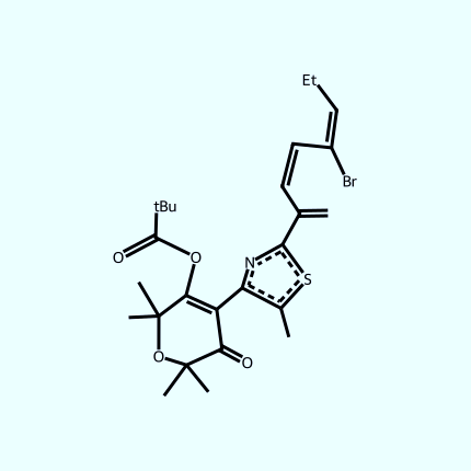 C=C(/C=C\C(Br)=C/CC)c1nc(C2=C(OC(=O)C(C)(C)C)C(C)(C)OC(C)(C)C2=O)c(C)s1